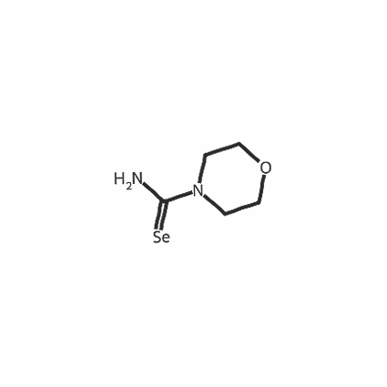 NC(=[Se])N1CCOCC1